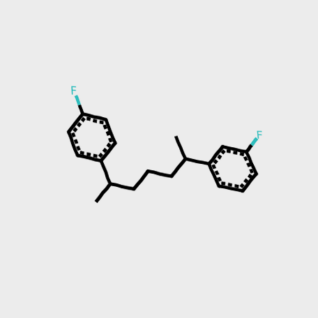 CC(CCCC(C)c1cccc(F)c1)c1ccc(F)cc1